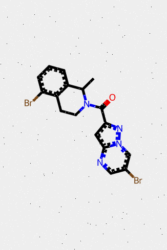 CC1c2cccc(Br)c2CCN1C(=O)c1cc2ncc(Br)cn2n1